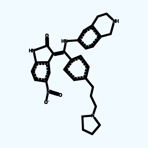 O=C1Nc2ccc([N+](=O)[O-])cc2C1=C(Nc1ccc2c(c1)CCNC2)c1ccc(CCCN2CCCC2)cc1